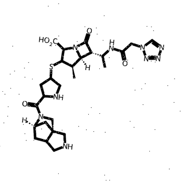 CC(NC(=O)Cn1cnnn1)[C@H]1C(=O)N2C(C(=O)O)C(SC3CNC(C(=O)N4C[C@@]56CNCC5C[C@@H]4C6)C3)[C@H](C)[C@H]12